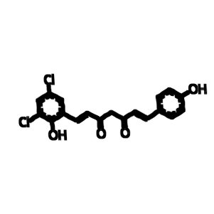 O=C(C=Cc1ccc(O)cc1)CC(=O)C=Cc1cc(Cl)cc(Cl)c1O